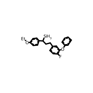 CCOc1ccc(C([SiH3])CCc2ccc(F)c(Oc3ccccc3)c2)cc1